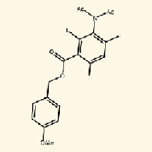 COc1ccc(COC(=O)c2c(I)cc(I)c(N(C(C)=O)C(C)=O)c2I)cc1